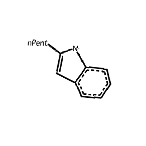 CCCCCC1=Cc2ccccc2[N]1